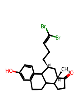 C[C@]12C[C@H](CCC=C(Br)Br)C3c4ccc(O)cc4CCC3C1CCC2=O